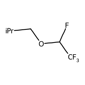 CC(C)COC(F)C(F)(F)F